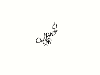 Cc1ccc([C@]23CC2CN(C(=O)c2cnn4c2N[C@@H](c2ccccc2)CC4(C)C)C3)cc1